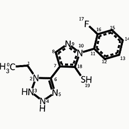 CCN1NNN=C1c1cnn(-c2ccccc2F)c1S